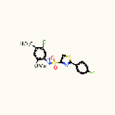 COc1cc(C(=O)O)c(Cl)cc1NS(=O)(=O)c1csc(-c2ccc(F)cc2)n1